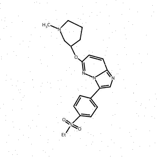 CCS(=O)(=O)c1ccc(-c2cnc3ccc(OC4CCCN(C)C4)nn23)cc1